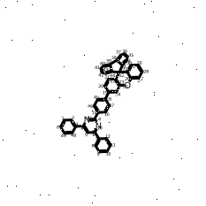 c1ccc(-c2cc(-c3ccccc3)nc(-c3ccc(-c4ccc5c(c4)Oc4ccccc4C54c5ccccc5-c5ccccc54)cc3)n2)cc1